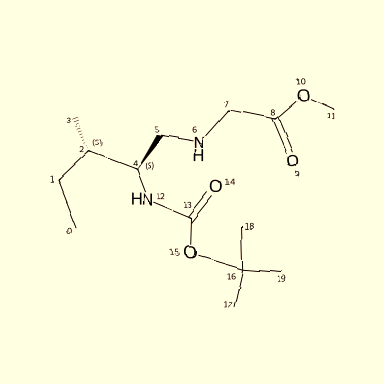 CC[C@H](C)[C@@H](CNCC(=O)OC)NC(=O)OC(C)(C)C